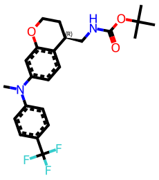 CN(c1ccc(C(F)(F)F)cc1)c1ccc2c(c1)OCC[C@H]2CNC(=O)OC(C)(C)C